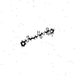 N[C@@H](COCC(=O)NCCCCCC(=O)OCc1ccccc1)C(=O)N1CCCC1